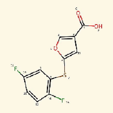 O=C(O)c1coc(Sc2cc(F)ccc2F)c1